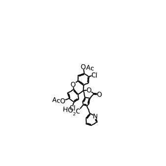 CC(=O)Oc1cc2c(cc1Cl)C1(OC(=O)c3cc(-c4ccccn4)c(C(=O)O)cc31)c1cc(Cl)c(OC(C)=O)cc1O2